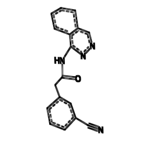 N#Cc1cccc(CC(=O)Nc2nncc3ccccc23)c1